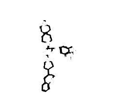 Cc1cc(CC(OC(=O)N2CCC(c3cc4ccccc4[nH]c3=O)CC2)C(=O)N2CCC3(CCN(C)CC3)CC2)cc2cn[nH]c12